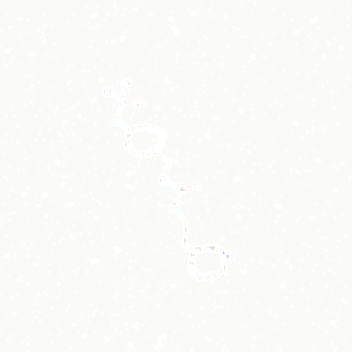 O=C(OCCc1cccnc1)OCc1ccc(OS(=O)(=O)F)cc1